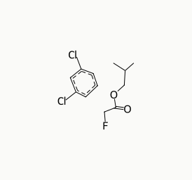 CC(C)COC(=O)CF.Clc1cccc(Cl)c1